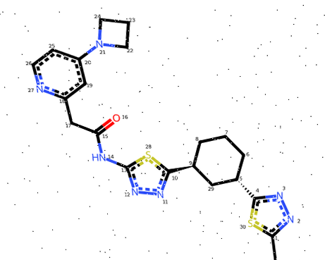 Cc1nnc([C@H]2CCC[C@H](c3nnc(NC(=O)Cc4cc(N5CCC5)ccn4)s3)C2)s1